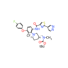 CN(C[C@@H]1CCCN(c2c(NC(=O)c3csc(-c4ccnnc4)n3)ccc(Oc3ccc(F)cc3)c2C(F)(F)F)C1)C(=O)OC(C)(C)C